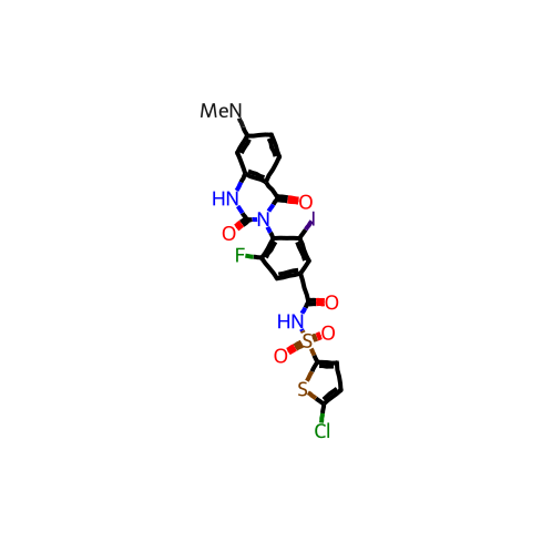 CNc1ccc2c(=O)n(-c3c(F)cc(C(=O)NS(=O)(=O)c4ccc(Cl)s4)cc3I)c(=O)[nH]c2c1